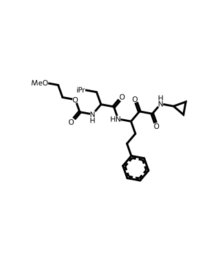 COCCOC(=O)NC(CC(C)C)C(=O)NC(CCc1ccccc1)C(=O)C(=O)NC1CC1